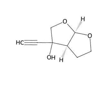 C#CC1(O)CO[C@H]2OCC[C@H]21